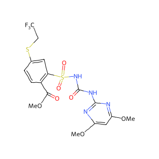 COC(=O)c1ccc(SCC(F)(F)F)cc1S(=O)(=O)NC(=O)Nc1nc(OC)cc(OC)n1